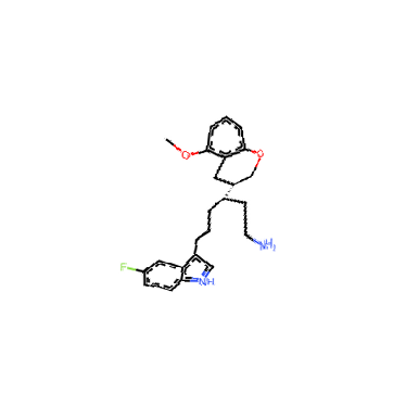 COc1cccc2c1C[C@@H](C(CCN)CCCc1c[nH]c3ccc(F)cc13)CO2